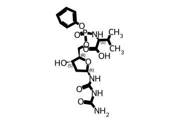 CC(C)[C@H](NP(=O)(OC[C@H]1O[C@@H](NC(=O)NC(N)=O)C[C@@H]1O)Oc1ccccc1)C(=O)O